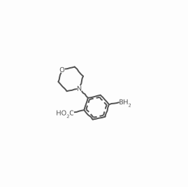 Bc1ccc(C(=O)O)c(N2CCOCC2)c1